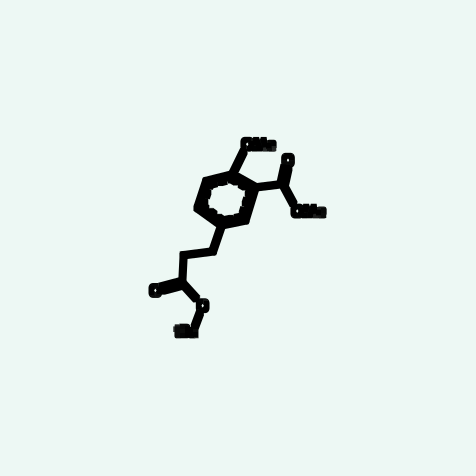 COC(=O)c1cc(CCC(=O)OC(C)(C)C)ccc1OC